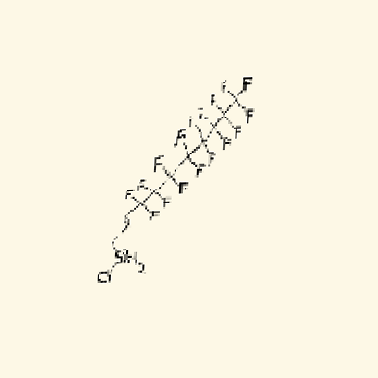 FC(F)(F)C(F)(F)C(F)(F)C(F)(F)C(F)(F)C(F)(F)C(F)(F)C(F)(F)C=CC[SiH2]Cl